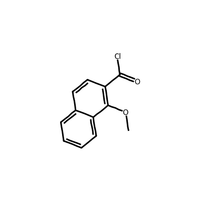 COc1c(C(=O)Cl)ccc2ccccc12